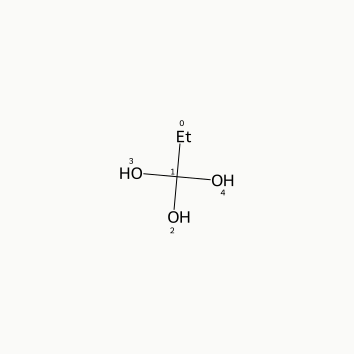 [CH]CC(O)(O)O